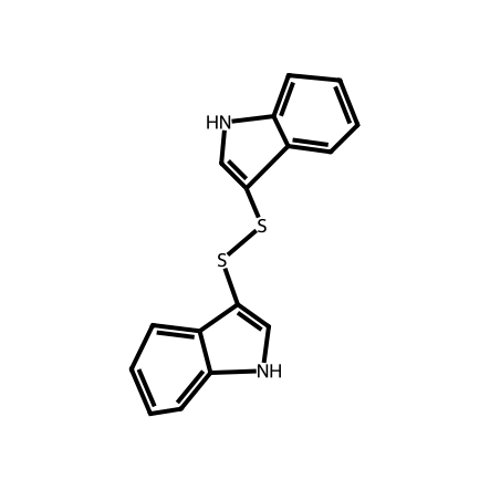 c1ccc2c(SSc3c[nH]c4ccccc34)c[nH]c2c1